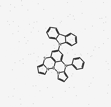 c1ccc(N2c3cc(-n4c5ccccc5c5ccccc54)cc4c3B(n3cccc3S4)n3cccc32)cc1